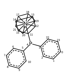 c1ccc(P(c2ccccc2)[C]23[CH]4[CH]5[CH]6[CH]2[Ni]56432789[CH]3[CH]2[CH]7[CH]8[CH]39)cc1